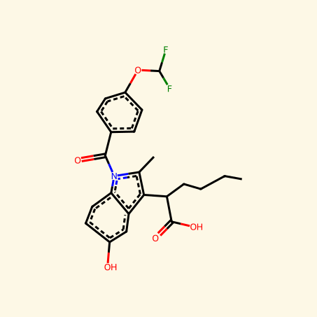 CCCCC(C(=O)O)c1c(C)n(C(=O)c2ccc(OC(F)F)cc2)c2ccc(O)cc12